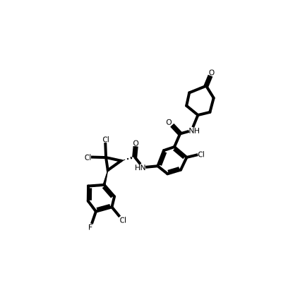 O=C1CCC(NC(=O)c2cc(NC(=O)[C@@H]3[C@@H](c4ccc(F)c(Cl)c4)C3(Cl)Cl)ccc2Cl)CC1